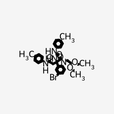 CCOC(CN1C(=O)C(CC(=O)Nc2ccc(C)cc2)(NC(=O)Nc2ccc(C)cc2)c2cc(Br)ccc21)OCC